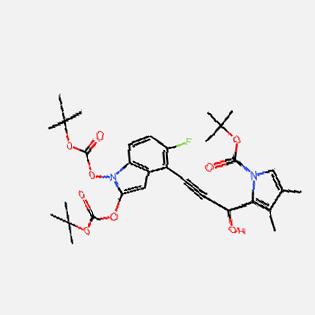 Cc1cn(C(=O)OC(C)(C)C)c(C(O)C#Cc2c(F)ccc3c2cc(OC(=O)OC(C)(C)C)n3OC(=O)OC(C)(C)C)c1C